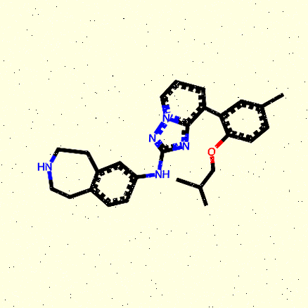 Cc1ccc(OCC(C)C)c(-c2cccn3nc(Nc4ccc5c(c4)CCNCC5)nc23)c1